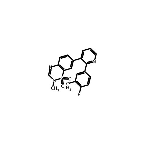 Cc1cc(-c2ncccc2-c2ccc3c(c2)S(=O)(=O)N(C)C=N3)ccc1F